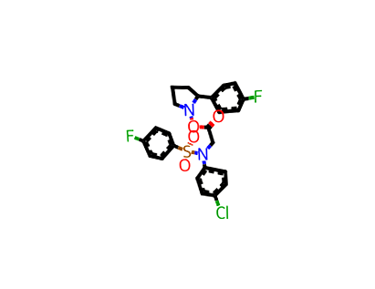 O=C(CN(c1ccc(Cl)cc1)S(=O)(=O)c1ccc(F)cc1)ON1CCCC1c1ccc(F)cc1